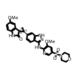 COc1ccc2c(c1)[C@]1(C[C@H]1c1ccc3c(Nc4ncc(S(=O)(=O)N5CCOCC5)cc4OC)n[nH]c3c1)C(=O)N2